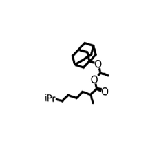 CC(C)CCCCC(C)C(=O)OC(C)OC12CC3CC(CC(C3)C1)C2